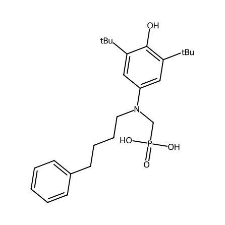 CC(C)(C)c1cc(N(CCCCc2ccccc2)CP(=O)(O)O)cc(C(C)(C)C)c1O